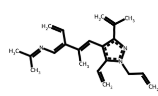 C=CCn1nc(C(=C)C)c(/C=C(C)/C(C=C)=C/N=C(C)C)c1C=C